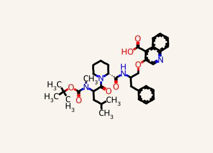 CC(C)CC(C(=O)N1CCCC[C@@H]1C(=O)NC(COc1cnc2ccccc2c1C(=O)O)Cc1ccccc1)N(C)C(=O)OC(C)(C)C